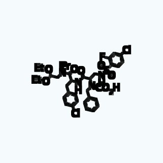 CCOC(CN(C(=O)C(Cc1ccc(Cl)cc1)NC(=O)C(CNS(=O)(=O)c1ccc(Cl)cc1F)N(Cc1ccccc1)C(=O)O)C(C)C)OCC